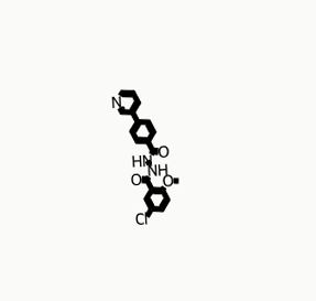 COc1ccc(Cl)cc1C(=O)NNC(=O)c1ccc(-c2cccnc2)cc1